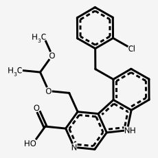 COC(C)OCc1c(C(=O)O)ncc2[nH]c3cccc(Cc4ccccc4Cl)c3c12